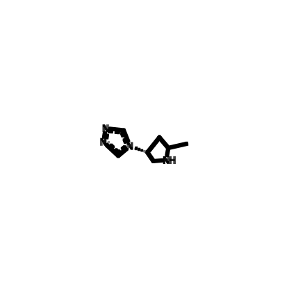 CC1C[C@@H](n2cnnc2)CN1